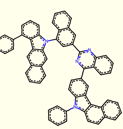 c1ccc(-c2cccc3c2c2cc4ccccc4cc2n3-c2cc(-c3nc(-c4ccc5c(c4)c4c6ccccc6ccc4n5-c4ccccc4)c4ccccc4n3)cc3ccccc23)cc1